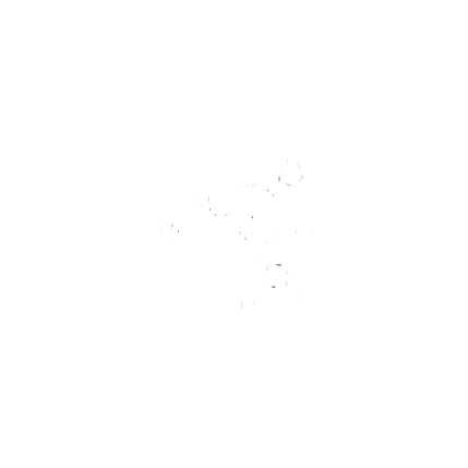 CCCCN(CCN)C(=O)CN1C[C@H](c2cc(CO)c3c(c2)OCO3)[C@@H](C(=O)O)[C@@H]1CCN1C(=O)Cc2ccccc21